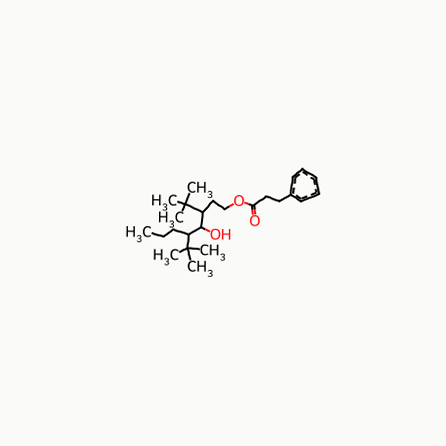 CCCC(C(O)C(CCOC(=O)CCc1ccccc1)C(C)(C)C)C(C)(C)C